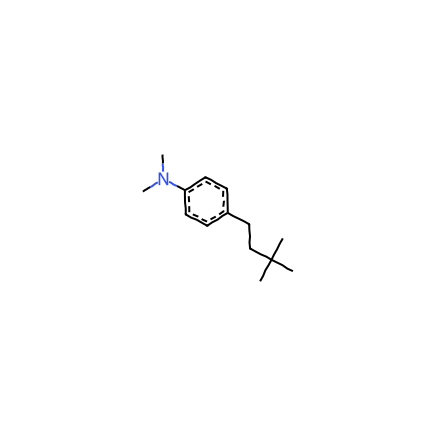 CN(C)c1ccc(CCC(C)(C)C)cc1